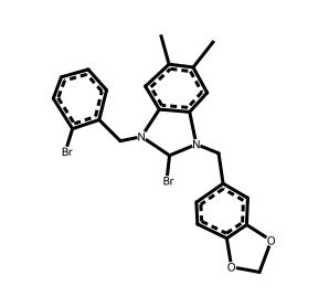 Cc1cc2c(cc1C)N(Cc1ccccc1Br)C(Br)N2Cc1ccc2c(c1)OCO2